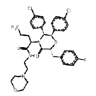 CCCC(C(=O)NCCN1CCOCC1)N1C(=O)[C@@H](Cc2ccc(F)cc2)O[C@H](c2ccc(Cl)cc2)[C@@H]1c1ccc(Cl)cc1